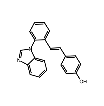 Oc1ccc(/C=C/c2ccccc2-n2cnc3ccccc32)cc1